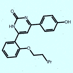 CC(C)CCOc1ccccc1-c1cc(-c2ccc(O)cc2)nc(=O)[nH]1